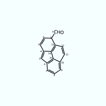 O=CC1C=CC2=Cc3cccc4ccc1c2c34